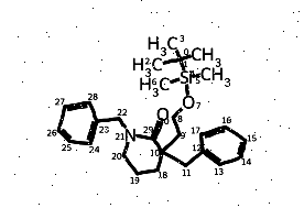 CC(C)(C)[Si](C)(C)OCCC1(Cc2ccccc2)CCCN(Cc2ccccc2)C1=O